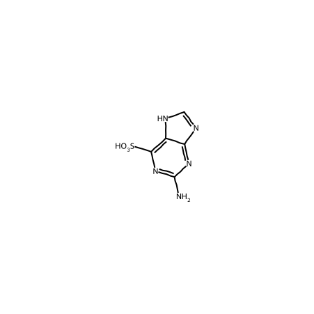 Nc1nc(S(=O)(=O)O)c2[nH]cnc2n1